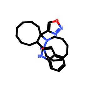 c1ccc2[nH]c(C3CCCCCCCC3(c3conn3)N3CCCCCCCN3)cc2c1